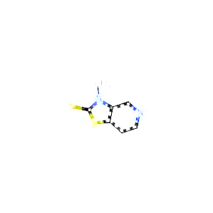 Cn1c(=S)sc2ccncc21